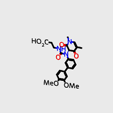 COc1ccc(-c2cccc(N(C(=O)NCCC(=O)O)[C@H]3C(=O)C(C)=CN(C)C3=O)c2)cc1OC